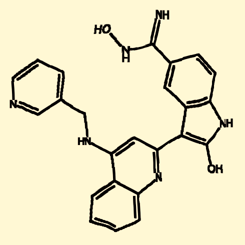 N=C(NO)c1ccc2[nH]c(O)c(-c3cc(NCc4cccnc4)c4ccccc4n3)c2c1